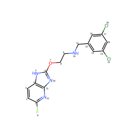 Fc1ccc2[nH]c(OCCNCc3cc(Cl)cc(Cl)c3)nc2n1